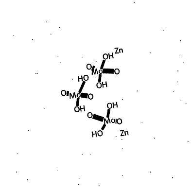 [O]=[Mo](=[O])([OH])[OH].[O]=[Mo](=[O])([OH])[OH].[O]=[Mo](=[O])([OH])[OH].[Zn].[Zn]